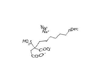 CCCCCCCCCCCCCCCCC(CC(=O)[O-])(C(=O)[O-])S(=O)(=O)O.[Na+].[Na+]